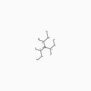 CCC(C)N(C(C)CC)C(C)CC